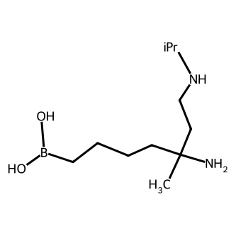 CC(C)NCCC(C)(N)CCCCB(O)O